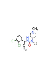 CCN(C(=O)N[C@@H](C)c1cccc(Cl)c1Cl)C1CCN(C)CC1